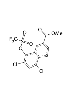 COC(=O)c1ccc2c(Cl)cc(Cl)c(OS(=O)(=O)C(F)(F)F)c2c1